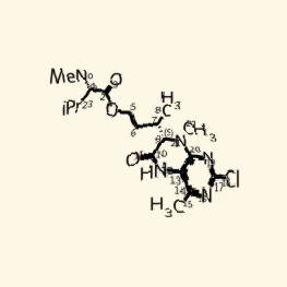 CN[C@H](C(=O)OCCC(C)[C@H]1C(=O)Nc2c(C)nc(Cl)nc2N1C)C(C)C